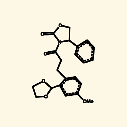 COc1ccc(CCC(=O)N2C(=O)OCC2c2ccccc2)c(C2OCCO2)c1